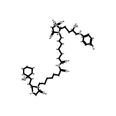 O=C(CCCCCCN1C(=O)CSC1CCC1(O)CCCCC1)OC(=O)CCCCCCN1C(=O)CS(=O)(=O)C1CCC(O)COc1ccc(F)cc1